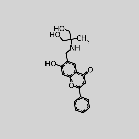 CC(CO)(CO)NCc1cc2c(=O)cc(-c3ccccc3)oc2cc1O